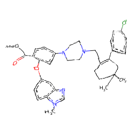 COC(=O)c1ccc(N2CCN(CC3=C(c4ccc(Cl)cc4)CC(C)(C)CC3)CC2)cc1Oc1ccc2c(c1)ncn2C